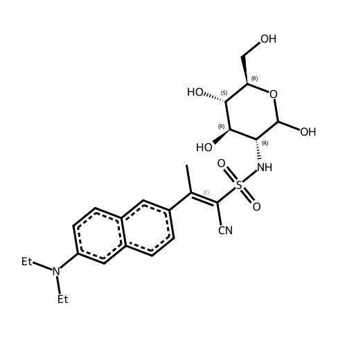 CCN(CC)c1ccc2cc(/C(C)=C(\C#N)S(=O)(=O)N[C@H]3C(O)O[C@H](CO)[C@@H](O)[C@@H]3O)ccc2c1